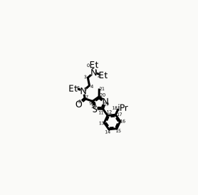 CCN(CC)CCN(CC)C(=O)c1sc(-c2ccccc2C(C)C)nc1C